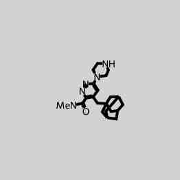 CNC(=O)c1nnc(N2CCNCC2)cc1CC12CC3CC(CC(C3)C1)C2